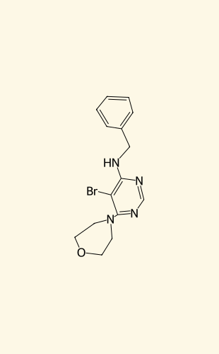 Brc1c(NCc2ccccc2)ncnc1N1CCOCC1